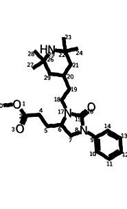 COC(=O)CCC1CN(c2ccccc2)C(=O)N1CCC1CC(C)(C)NC(C)(C)C1